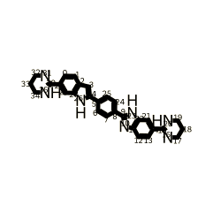 c1cc2cc(-c3ccc(-c4nc5ccc(C6=NCCCN6)cc5[nH]4)cc3)[nH]c2cc1C1=NCCCN1